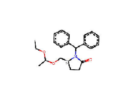 CCOC(C)OC[C@@H]1CCC(=O)N1C(c1ccccc1)c1ccccc1